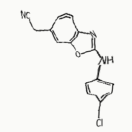 N#CCc1ccc2nc(Nc3ccc(Cl)cc3)oc2c1